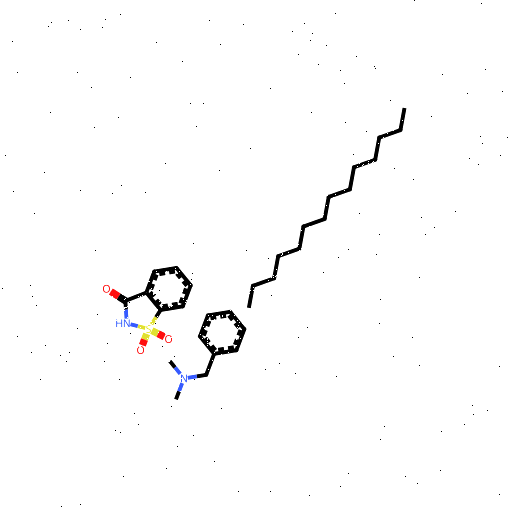 CCCCCCCCCCCCCC.CN(C)Cc1ccccc1.O=C1NS(=O)(=O)c2ccccc21